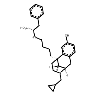 C[C@H]1[C@H]2Cc3ccc(O)cc3[C@]1(CCCCN[C@@H](Cc1ccccc1)C(=O)O)CCN2CC1CC1